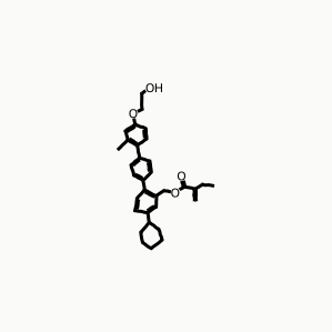 C=C(CC)C(=O)OCc1cc(C2CCCCC2)ccc1-c1ccc(-c2ccc(OCCO)cc2C)cc1